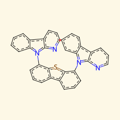 c1cc(-n2c3ccccc3c3cccnc32)c2sc3c(-n4c5ccccc5c5cccnc54)cccc3c2c1